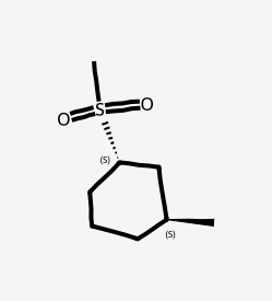 C[C@H]1CCC[C@H](S(C)(=O)=O)C1